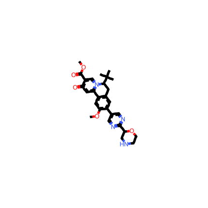 COC(=O)c1cn2c(cc1=O)-c1cc(OC)c(-c3cnc(C4CNCCO4)nc3)cc1CC2C(C)(C)C